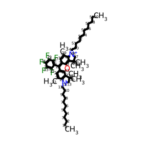 CCCCCCCCCCCCN1CC(C)(C)c2c3c(cc(C)c21)C(c1c(F)c(F)c(F)c(F)c1F)=c1cc(C)c2c(c1O3)C(C)(C)C[N+]=2CCCCCCCCCCCC